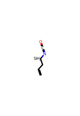 C=CCCN=C=O.[SiH4]